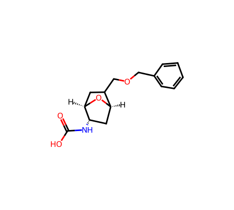 O=C(O)N[C@H]1C[C@H]2O[C@@H]1CC2COCc1ccccc1